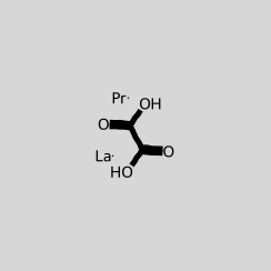 O=C(O)C(=O)O.[La].[Pr]